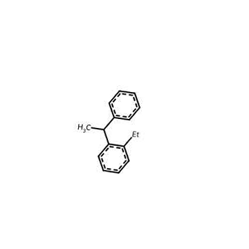 CCc1ccccc1C(C)c1ccccc1